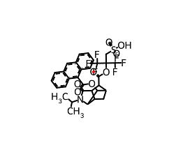 CC(C)N1C(=O)C2C3CC(C(OC(=O)c4c5ccccc5cc5ccccc45)C31)C2C(=O)OC(CS(=O)(=O)O)(C(F)(F)F)C(F)(F)F